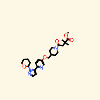 COC(=O)C(C)(C)CC(=O)N1CCC(COc2ccc(-c3ccnn3C3CCCCO3)nc2)CC1